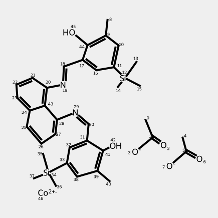 CC(=O)[O-].CC(=O)[O-].Cc1cc([Si](C)(C)C)cc(C=Nc2cccc3cccc(N=Cc4cc([Si](C)(C)C)cc(C)c4O)c23)c1O.[Co+2]